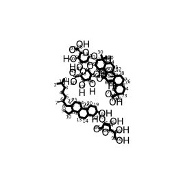 CC(C)CCC[C@H](C)[C@H]1CCC2C3CCC4C[C@H](O)CC[C@]4(C)C3CC[C@@]21C.CC1(C)[C@@H](O[C@H]2O[C@H](C(=O)O)[C@@H](O)[C@H](O)[C@H]2O[C@@H]2O[C@H](C(=O)O)[C@@H](O)[C@H](O)[C@H]2O)CC[C@]2(C)[C@H]3C(=O)C=C4[C@@H]5C[C@@](C)(C(=O)O)CC[C@]5(C)CC[C@@]4(C)[C@]3(C)CC[C@@H]12.O=C1O[C@H]([C@@H](O)CO)C(O)=C1O